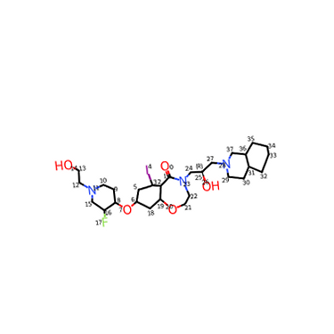 O=C1C2C(I)CC(OC3CCN(CCO)CC3F)CC2OCCN1C[C@H](O)CN1CCC2CCCCC2C1